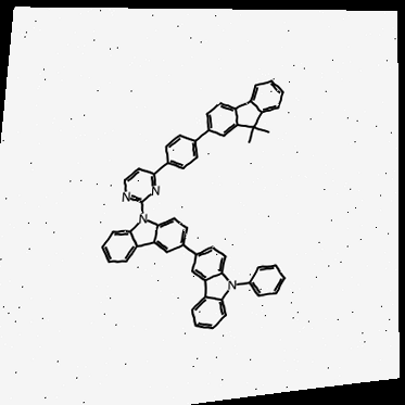 CC1(C)c2ccccc2-c2ccc(-c3ccc(-c4ccnc(-n5c6ccccc6c6cc(-c7ccc8c(c7)c7ccccc7n8-c7ccccc7)ccc65)n4)cc3)cc21